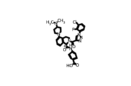 CN(C)C1CCN(c2cccc3c2CCN(C(=O)c2cn(-c4cccc(Cl)c4F)nn2)[C@H]3C(=O)Nc2ccc(C(=O)O)cc2)CC1